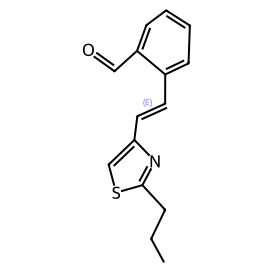 CCCc1nc(/C=C/c2ccccc2C=O)cs1